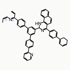 C=C/C(=N\C=C/C)c1ccc(-c2cc(-c3ccc(-c4ccccn4)cc3)cc(C3N=C(c4ccc(C5=CC=CCC5)cc4)c4ccc5ccccc5c4N3)c2)cc1